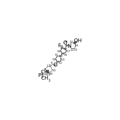 CC(C)(F)CN1CCC(COc2ccc(-c3ccc(C(=O)N4CCC[C@H](O)C4)c(F)c3)cc2)CC1